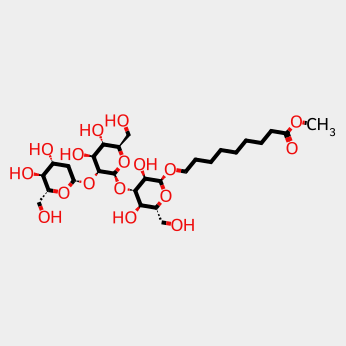 COC(=O)CCCCCCCCO[C@H]1O[C@H](CO)[C@@H](O)[C@H](O[C@@H]2O[C@H](CO)[C@@H](O)[C@H](O)[C@H]2O[C@H]2C[C@@H](O)[C@H](O)[C@@H](CO)O2)[C@H]1O